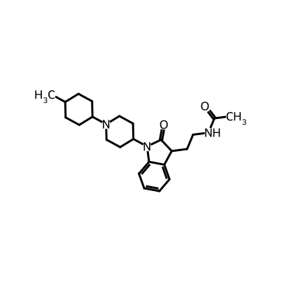 CC(=O)NCCC1C(=O)N(C2CCN(C3CCC(C)CC3)CC2)c2ccccc21